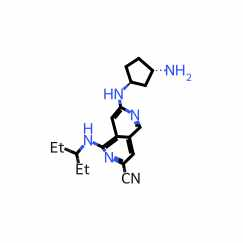 CCC(CC)Nc1nc(C#N)cc2cnc(N[C@H]3CC[C@H](N)C3)cc12